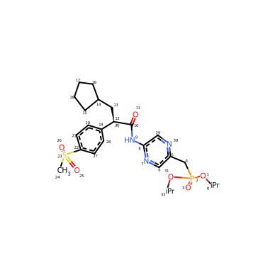 CC(C)OP(=O)(Cc1cnc(NC(=O)[C@H](CC2CCCC2)c2ccc(S(C)(=O)=O)cc2)cn1)OC(C)C